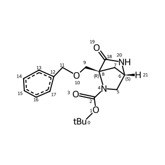 CC(C)(C)OC(=O)N1C[C@@H]2C[C@@]1(COCc1ccccc1)C(=O)N2